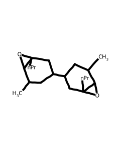 CCCC12CC(C3CC(C)C4OC4(CCC)C3)CC(C)C1O2